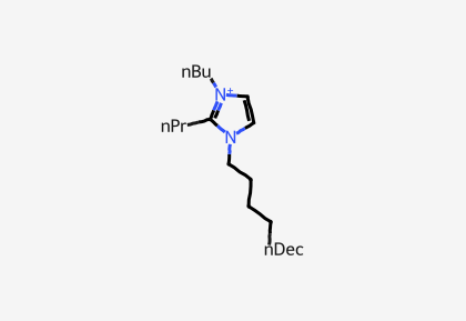 CCCCCCCCCCCCCCn1cc[n+](CCCC)c1CCC